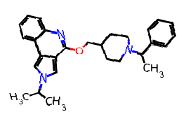 CC(c1ccccc1)N1CCC(COc2nc3ccccc3c3cn(C(C)C)cc23)CC1